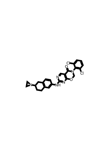 O=C1c2cnc(Nc3ccc4c(c3)CCC(N3CC3)C4)nc2OCN1c1c(Cl)cccc1Cl